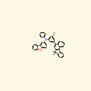 CC1(C)c2ccccc2-c2c1cc(-c1cc(Cl)cc(N(c3ccccc3)c3ccc4oc5ccccc5c4c3)c1)c1ccccc21